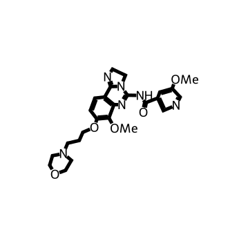 COc1cncc(C(=O)NC2=Nc3c(ccc(OCCCN4CCOCC4)c3OC)C3=NCCN23)c1